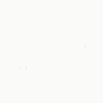 C[SiH2]OCCCOCCc1ccccc1O